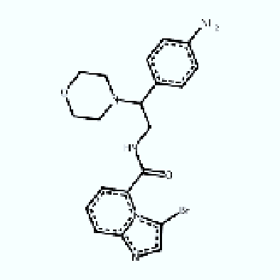 Nc1ccc(C(CNC(=O)c2cccc3ncc(Br)n23)N2CCOCC2)cc1